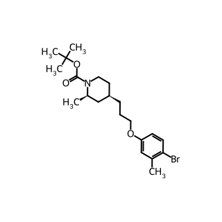 Cc1cc(OCCC[C@@H]2CCN(C(=O)OC(C)(C)C)[C@H](C)C2)ccc1Br